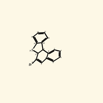 BrC1=Cc2ccccc2C2c3ccccc3SC12